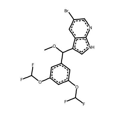 COC(c1cc(OC(F)F)cc(OC(F)F)c1)c1c[nH]c2ncc(Br)cc12